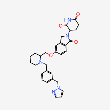 O=C1CCC(N2Cc3cc(OCC4CCCCN4Cc4cccc(Cn5cccn5)c4)ccc3C2=O)C(=O)N1